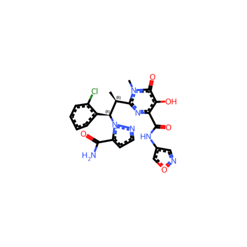 C[C@@H](c1nc(C(=O)Nc2cnoc2)c(O)c(=O)n1C)[C@H](c1ccccc1Cl)n1nccc1C(N)=O